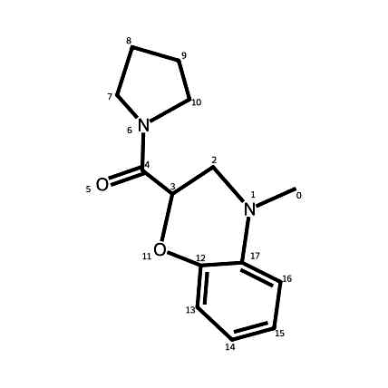 CN1CC(C(=O)N2CCCC2)Oc2ccccc21